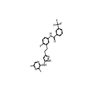 Cc1cnc(Nc2cc(CCc3cc(NC(=O)c4cccc(C(F)(F)F)c4)ccc3F)n[nH]2)c(C)n1